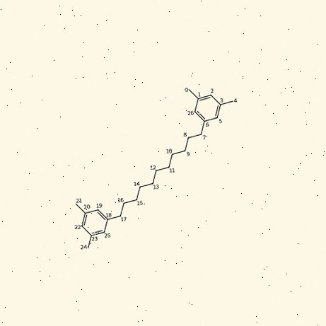 Cc1cc(C)cc(CCCCCCCCCCCc2cc(C)cc(C)c2)c1